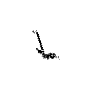 CCCCCCCCCCCCCCCCCCOC[C@H](COP(=O)(O)OC1[C@H]2O[C@@](C#N)(c3ccc4c(N)ncnn34)[C@H](O)[C@@]12O)Nc1ccc(C#N)cn1